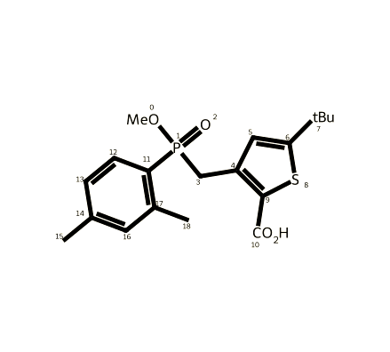 COP(=O)(Cc1cc(C(C)(C)C)sc1C(=O)O)c1ccc(C)cc1C